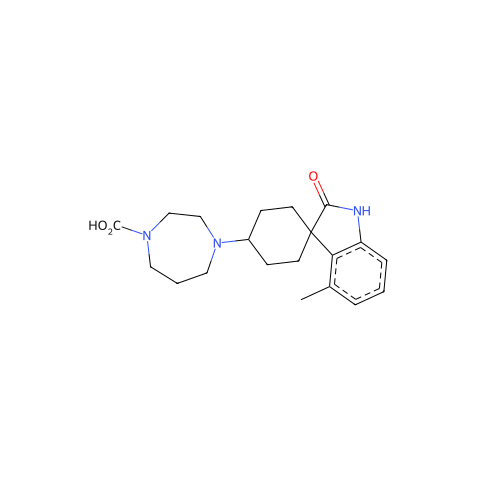 Cc1cccc2c1C1(CCC(N3CCCN(C(=O)O)CC3)CC1)C(=O)N2